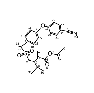 CC(C)OC(=O)N[C@H](CS(=O)(=O)C(C)c1ccc(Oc2ccc(C#N)cc2)cc1)C(C)C